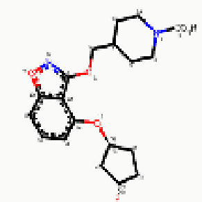 O=C(O)N1CCC(COc2noc3cccc(O[C@H]4CC[C@H](O)C4)c23)CC1